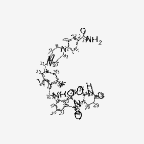 NC(=O)c1ccc(N2CCN(Cc3ccc(CNc4cccc5c4C(=O)N(C4CCC(=O)NC4=O)C5=O)c(F)c3)CC2)cc1